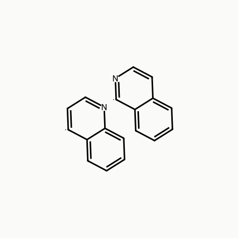 [c]1ccnc2ccccc12.[c]1nccc2ccccc12